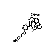 CCCOCCOc1ccnc(NC(=O)N2c3nc(C(=O)OC)ccc3N3CC[C@H]2C3)c1